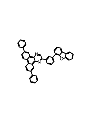 c1ccc(-c2ccc3c4ccc(-c5ccccc5)cc4c4nc(-c5cccc(-c6cccc7c6oc6ccccc67)c5)cnc4c3c2)cc1